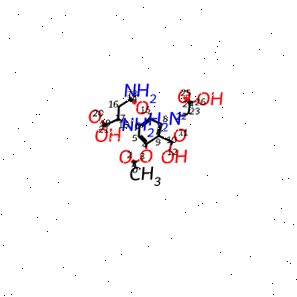 CC(=O)Oc1ccccc1C(=O)O.NC(=O)CC(N)C(=O)O.NCC(=O)O